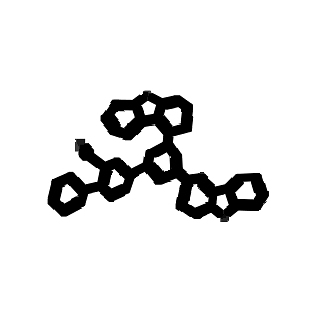 N#Cc1cc(-c2cc(-c3ccc4sc5ccccc5c4c3)cc(-c3cccc4sc5ccccc5c34)c2)ccc1-c1ccccc1